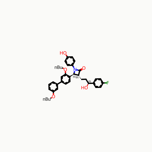 CCCCOc1cccc(-c2ccc([C@@H]3[C@@H](CC[C@H](O)c4ccc(F)cc4)C(=O)N3c3ccc(O)cc3)c(OCCCC)c2)c1